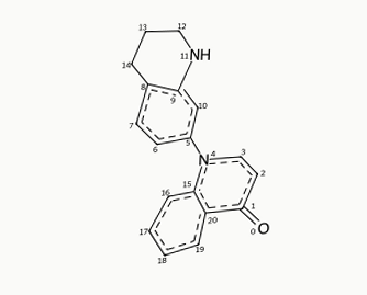 O=c1ccn(-c2ccc3c(c2)NCCC3)c2ccccc12